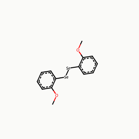 COc1ccccc1[Se][Se]c1ccccc1OC